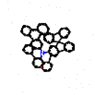 c1ccc(-c2ccccc2N(c2ccc3c4ccccc4c4ccccc4c3c2)c2cc3c(cc2-c2ccccc2)-c2ccccc2C32c3ccccc3-c3ccccc32)cc1